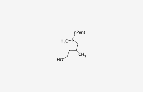 CCCCCN(C)CC(C)CCO